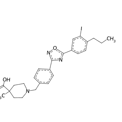 CCCc1ccc(-c2nc(-c3ccc(CN4CCC(C)(C(=O)O)CC4)cc3)no2)cc1I